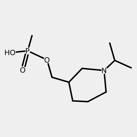 CC(C)N1CCCC(COP(C)(=O)O)C1